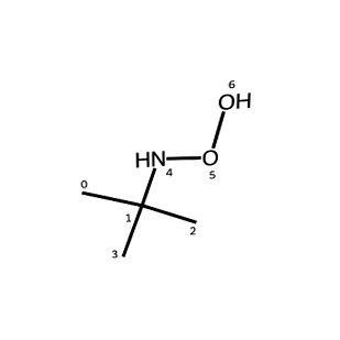 CC(C)(C)NOO